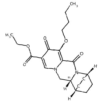 CCCCOc1c2n(cc(C(=O)OCC)c1=O)C[C@H]1[C@H]3CC[C@H](CC3)N1C2=O